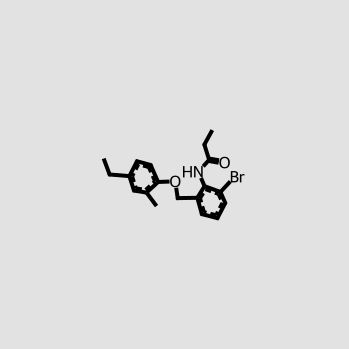 CCC(=O)Nc1c(Br)cccc1COc1ccc(CC)cc1C